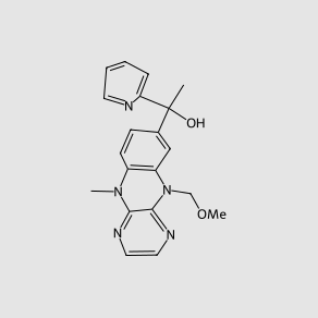 COCN1c2cc(C(C)(O)c3ccccn3)ccc2N(C)c2nccnc21